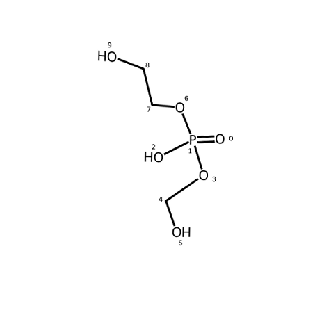 O=P(O)(OCO)OCCO